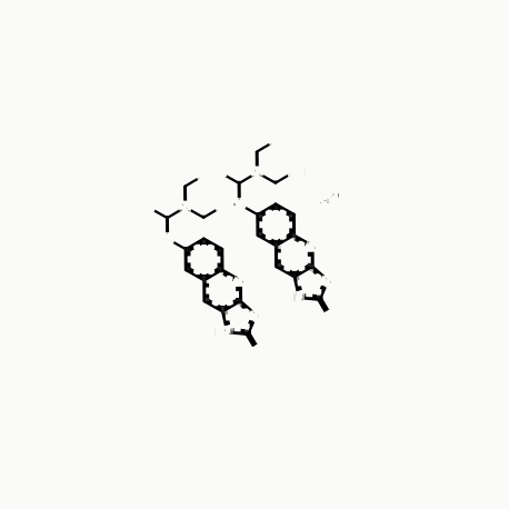 CCN(CC)C(C)Oc1ccc2nc3[nH]c(=O)[nH]c3cc2c1.CCN(CC)C(C)Oc1ccc2nc3[nH]c(=O)[nH]c3cc2c1.Cl.Cl.Cl.Cl.O